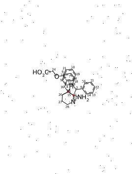 NC1(C(c2ccccc2)c2ccccc2)[C@@H](Cc2ccccc2OCC(=O)O)C2CCN1CC2